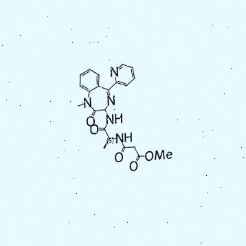 COC(=O)CC(=O)N[C@@H](C)C(=O)NC1N=C(c2ccccn2)c2ccccc2N(C)C1=O